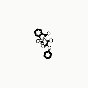 O=C(Oc1ccccc1)C(=O)N1C(=O)c2ccccc2S1(=O)=O